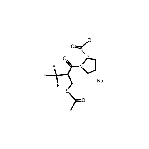 CC(=O)SCC(C(=O)N1CCC[C@H]1C(=O)[O-])C(F)(F)F.[Na+]